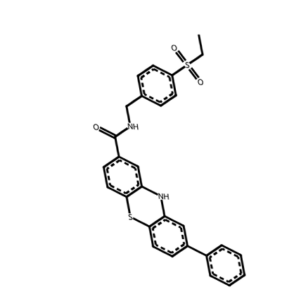 CCS(=O)(=O)c1ccc(CNC(=O)c2ccc3c(c2)Nc2cc(-c4ccccc4)ccc2S3)cc1